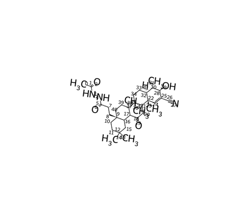 CC(=O)NNC(=O)CC[C@]12CCC(C)(C)CC1C1C(=O)C=C3[C@@]4(C)C=C(C#N)C(O)[C@@H](C)[C@@H]4CC[C@@]3(C)[C@]1(C)CC2